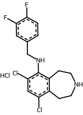 Cl.Fc1ccc(CNc2c(Cl)cc(Cl)c3c2CCNCC3)cc1F